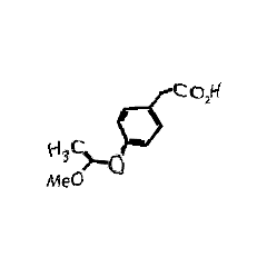 COC(C)Oc1ccc(CC(=O)O)cc1